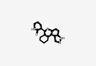 O=c1[nH]cccc1-c1nc2ccc3[nH]ncc3c2c2c1CCCC2